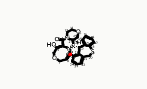 O=C1/C2=C(\O)COC/C=C\N2N([C@@H]2c3ccccc3SCc3cccc(Cl)c32)[C@@H]2COCCN12